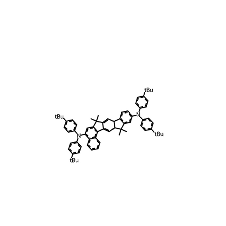 CC(C)(C)c1ccc(N(c2ccc(C(C)(C)C)cc2)c2ccc3c(c2)C(C)(C)C2C=C4C(=CC32)C(C)(C)c2cc(N(c3ccc(C(C)(C)C)cc3)c3ccc(C(C)(C)C)cc3)c3ccccc3c24)cc1